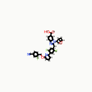 N#Cc1ccc(COc2cccc(-c3cc(F)c(Cc4nc5ccc(C(=O)O)cc5n4C4COC5CC4C5)cc3F)n2)c(F)c1